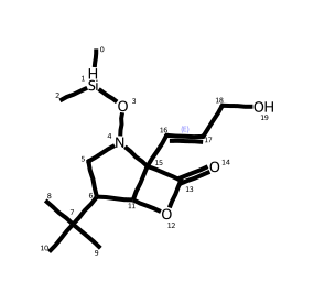 C[SiH](C)ON1CC(C(C)(C)C)C2OC(=O)C21/C=C/CO